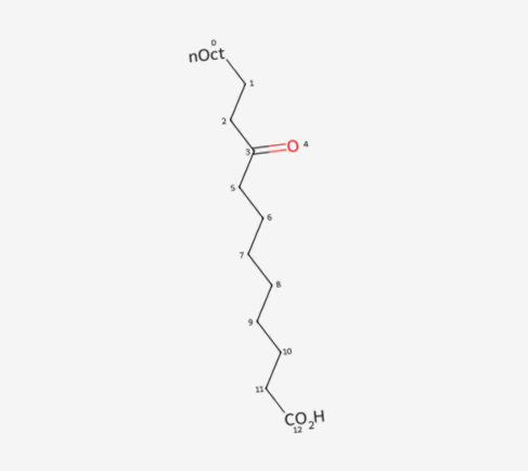 CCCCCCCCCCC(=O)CCCCCCCC(=O)O